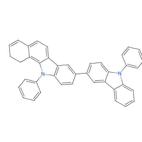 C1=Cc2ccc3c4cc(-c5ccc6c(c5)c5ccccc5n6-c5ccccc5)ccc4n(-c4ccccc4)c3c2CC1